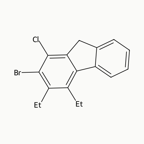 CCc1c(Br)c(Cl)c2c(c1CC)-c1ccccc1C2